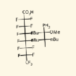 CCCCC(C)(CCCC)C(P)(CCCC)OC.O=C(O)C(F)(F)C(F)(F)C(F)(F)C(F)(F)C(F)(F)C(F)(F)C(F)(F)F